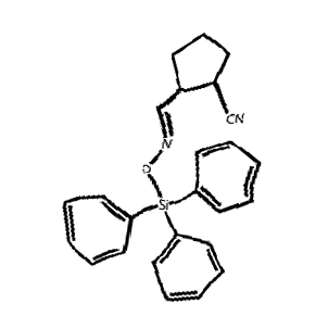 N#CC1CCCC1C=NO[Si](c1ccccc1)(c1ccccc1)c1ccccc1